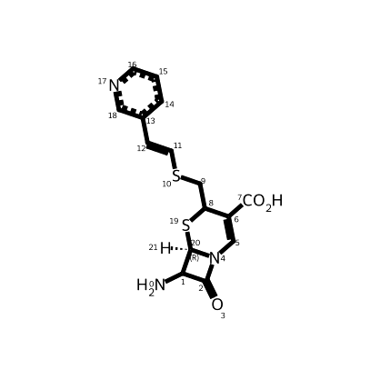 NC1C(=O)N2C=C(C(=O)O)C(CSC=Cc3cccnc3)S[C@H]12